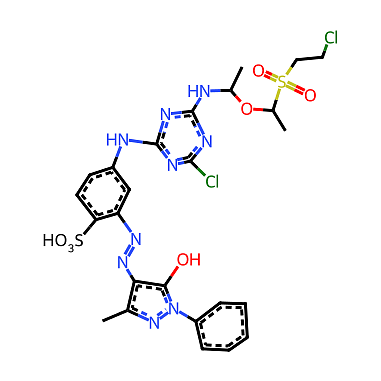 Cc1nn(-c2ccccc2)c(O)c1N=Nc1cc(Nc2nc(Cl)nc(NC(C)OC(C)S(=O)(=O)CCCl)n2)ccc1S(=O)(=O)O